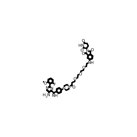 COc1cccc(F)c1-c1ncc(N)c(C(=N)c2ccc(N3CCN(C(=O)CCOCCOCCOCCNc4ccc5c(c4)C(=O)N(C4CCC(=O)NC4=O)C5=O)CC3)cc2)n1